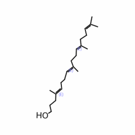 CC(C)=CCC/C(C)=C/CC/C(C)=C/CC/C=C(\C)CCCO